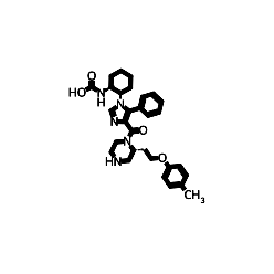 Cc1ccc(OCC[C@@H]2CNCCN2C(=O)c2ncn([C@H]3CCCC[C@@H]3NC(=O)O)c2-c2ccccc2)cc1